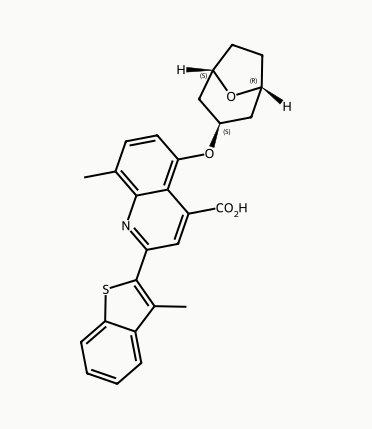 Cc1c(-c2cc(C(=O)O)c3c(O[C@@H]4C[C@H]5CC[C@@H](C4)O5)ccc(C)c3n2)sc2ccccc12